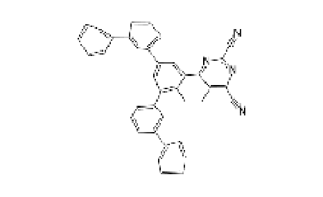 N#Cc1nc(C#N)c2c(n1)-c1cc(-c3cccc(-c4ccccc4)c3)cc(-c3cccc(-c4ccccc4)c3)c1CC2